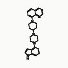 c1cnc2c(N3CCC(N4CCN(c5cccc6[nH]ccc56)CC4)CC3)cccc2c1